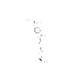 CNC[C@H]1CC[C@H](C(=O)NCCOCCOCC(C)=O)CC1